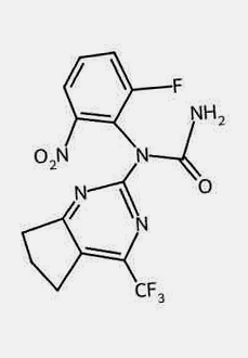 NC(=O)N(c1nc2c(c(C(F)(F)F)n1)CCC2)c1c(F)cccc1[N+](=O)[O-]